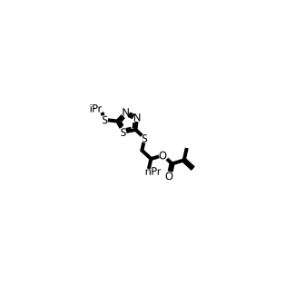 C=C(C)C(=O)OC(CCC)CSc1nnc(SC(C)C)s1